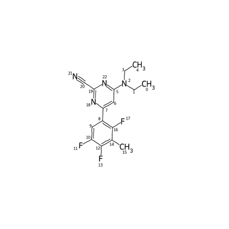 CCN(CC)c1cc(-c2cc(F)c(F)c(C)c2F)nc(C#N)n1